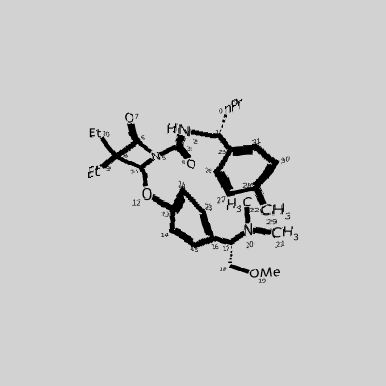 CCC[C@@H](NC(=O)N1C(=O)C(CC)(CC)C1Oc1ccc([C@@H](COC)N(C)C)cc1)c1ccc(C)cc1